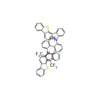 N#Cc1cccc(-n2c3ccccc3c3c4sc5ccccc5c4ccc32)c1-c1c(-c2cc(C(F)(F)F)cc(C(F)(F)F)c2)cccc1-n1c2ccccc2c2c3sc4ccccc4c3ccc21